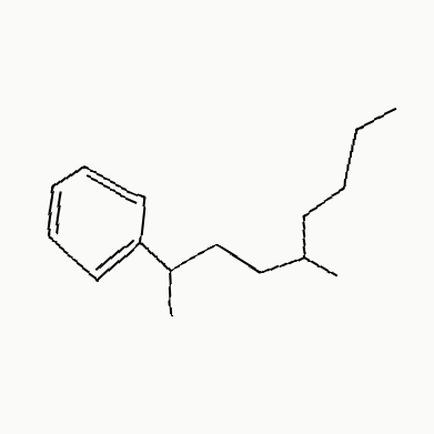 CCCCC(C)CCC(C)c1ccccc1